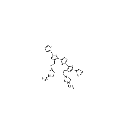 CN1CCN(CCc2cc(-c3cccs3)sc2-c2ccc(-c3sc(-c4cccs4)cc3CCN3CCN(C)C3)s2)C1